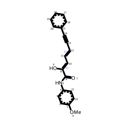 COc1ccc(NC(=O)/C(O)=C/C=C/C#Cc2ccccc2)cc1